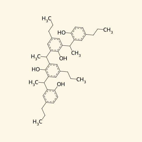 CCCc1ccc(O)c(C(C)c2cc(CCC)cc(C(C)c3cc(CCC)cc(C(C)c4cc(CCC)ccc4O)c3O)c2O)c1